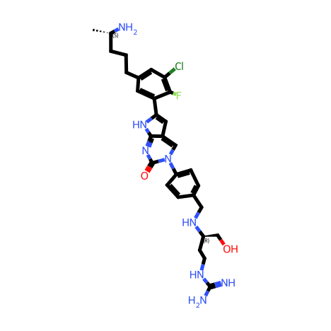 C[C@H](N)CCCc1cc(Cl)c(F)c(-c2cc3cn(-c4ccc(CN[C@@H](CO)CCNC(=N)N)cc4)c(=O)nc3[nH]2)c1